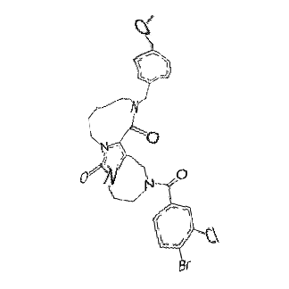 COc1ccc(CN2CCCCn3c(c4n(c3=O)CCN(C(=O)c3ccc(Br)c(Cl)c3)C4)C2=O)cc1